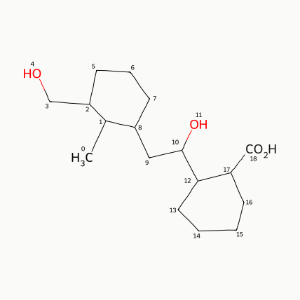 CC1C(CO)CCCC1CC(O)C1CCCCC1C(=O)O